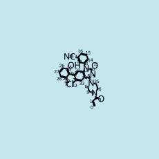 C=CC(=O)N1CCN(c2nc(=O)n(-c3cccc(C#N)c3)c3cc(-c4c(O)cccc4F)c(Cl)cc23)CC1